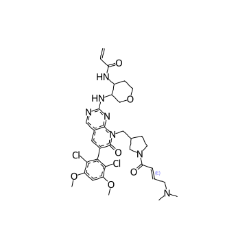 C=CC(=O)NC1CCOCC1Nc1ncc2cc(-c3c(Cl)c(OC)cc(OC)c3Cl)c(=O)n(CC3CCN(C(=O)/C=C/CN(C)C)C3)c2n1